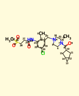 Cc1c(CN2CCN(C(=O)C3CC4CC4C3)[C@@H](C)C2)cc(Cl)cc1NC(=O)CCS(C)(=O)=O